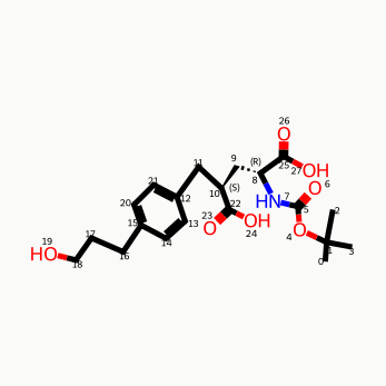 CC(C)(C)OC(=O)N[C@H](C[C@H](Cc1ccc(CCCO)cc1)C(=O)O)C(=O)O